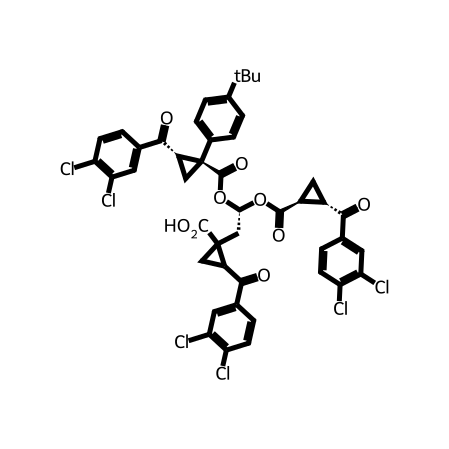 CC(C)(C)c1ccc([C@]2(C(=O)O[C@@H](CC3(C(=O)O)CC3C(=O)c3ccc(Cl)c(Cl)c3)OC(=O)[C@H]3C[C@@H]3C(=O)c3ccc(Cl)c(Cl)c3)C[C@@H]2C(=O)c2ccc(Cl)c(Cl)c2)cc1